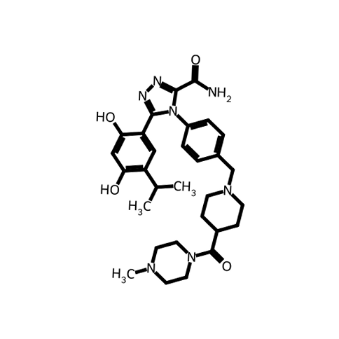 CC(C)c1cc(-c2nnc(C(N)=O)n2-c2ccc(CN3CCC(C(=O)N4CCN(C)CC4)CC3)cc2)c(O)cc1O